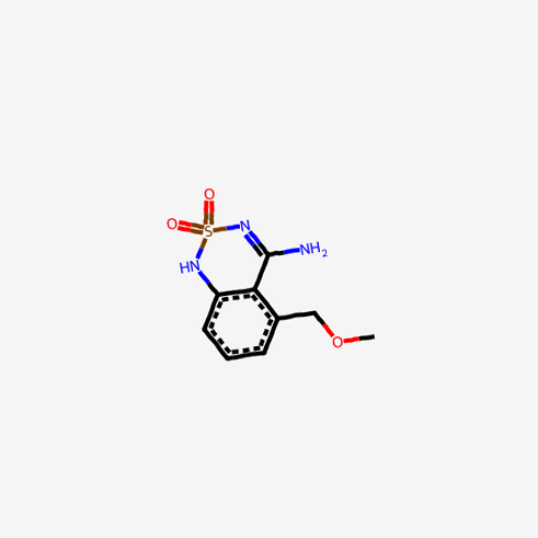 COCc1cccc2c1C(N)=NS(=O)(=O)N2